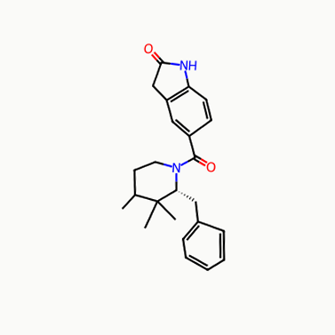 CC1CCN(C(=O)c2ccc3c(c2)CC(=O)N3)[C@H](Cc2ccccc2)C1(C)C